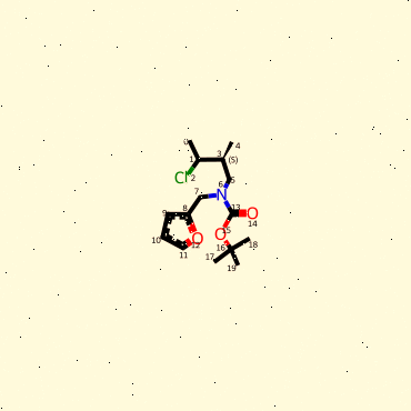 CC(Cl)[C@@H](C)CN(Cc1ccco1)C(=O)OC(C)(C)C